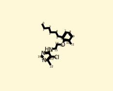 CCCCCCc1cccc(C)c1OCCNc1ncnc(C)c1Cl